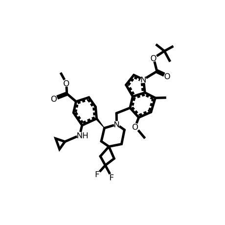 COC(=O)c1ccc([C@@H]2CC3(CCN2Cc2c(OC)cc(C)c4c2ccn4C(=O)OC(C)(C)C)CC(F)(F)C3)c(NC2CC2)c1